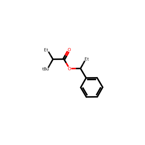 CCC(OC(=O)C(CC)C(C)(C)C)c1ccccc1